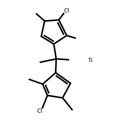 CC1=C(Cl)C(C)C=C1C(C)(C)C1=CC(C)C(Cl)=C1C.[Ti]